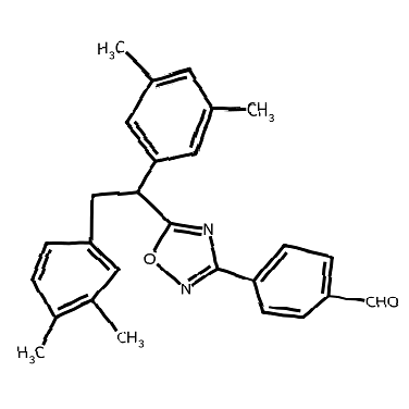 Cc1cc(C)cc(C(Cc2ccc(C)c(C)c2)c2nc(-c3ccc(C=O)cc3)no2)c1